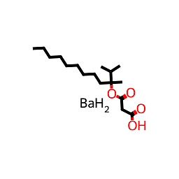 CCCCCCCCCC(C)(OC(=O)CC(=O)O)C(C)C.[BaH2]